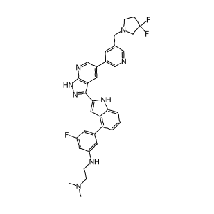 CN(C)CCNc1cc(F)cc(-c2cccc3[nH]c(-c4n[nH]c5ncc(-c6cncc(CN7CCC(F)(F)C7)c6)cc45)cc23)c1